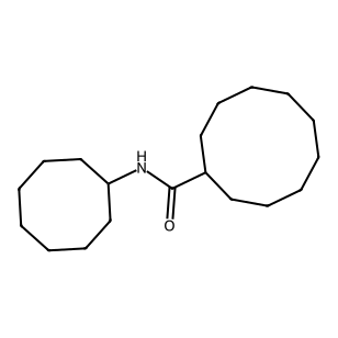 O=C(NC1CCCCCCC1)C1CCCCCCCCC1